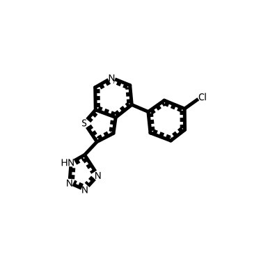 Clc1cccc(-c2cncc3sc(-c4nnn[nH]4)cc23)c1